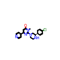 Cn1c(N2CCNC([C@@H]3C=CC(Cl)=CC3)C2)nc(-c2ccncc2)cc1=O